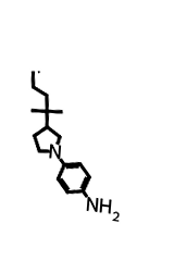 [CH2]CCC(C)(C)C1CCN(c2ccc(N)cc2)C1